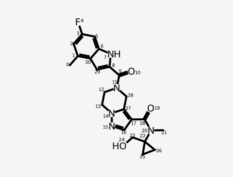 Cc1cc(F)cc2[nH]c(C(=O)N3CCn4ncc(C(=O)N(C)C5(CO)CC5)c4C3)cc12